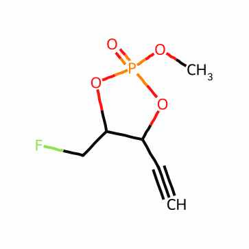 C#CC1OP(=O)(OC)OC1CF